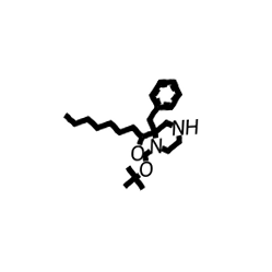 CCCCCCCC(C)C1(Cc2ccccc2)CNCCN1C(=O)OC(C)(C)C